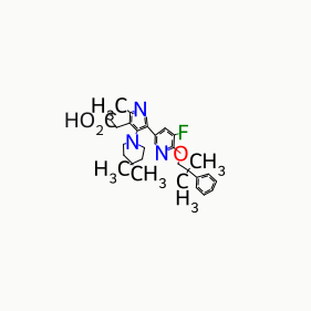 Cc1ncc(-c2cnc(OCC(C)(C)c3ccccc3)c(F)c2)c(N2CCC(C)(C)CC2)c1CC(=O)O